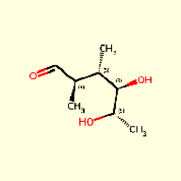 C[C@H]([C@@H](O)[C@H](C)O)[C@@H](C)C=O